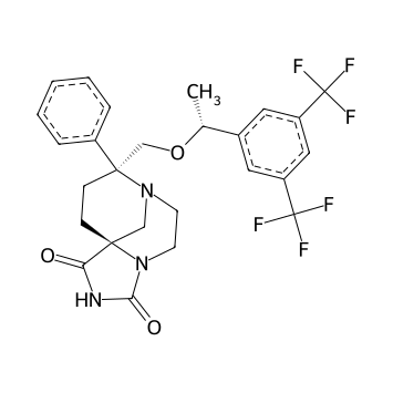 C[C@@H](OC[C@@]1(c2ccccc2)CC[C@@]23CN1CCN2C(=O)NC3=O)c1cc(C(F)(F)F)cc(C(F)(F)F)c1